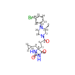 C[C@H]1CN(C(=O)CCC2(CC3CC3)NC(=O)NC2=O)CCN1c1cccc(Br)c1